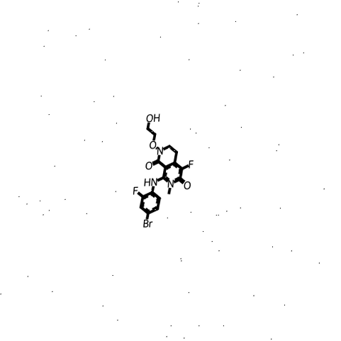 Cn1c(Nc2ccc(Br)cc2F)c2c(c(F)c1=O)CCN(OCCO)C2=O